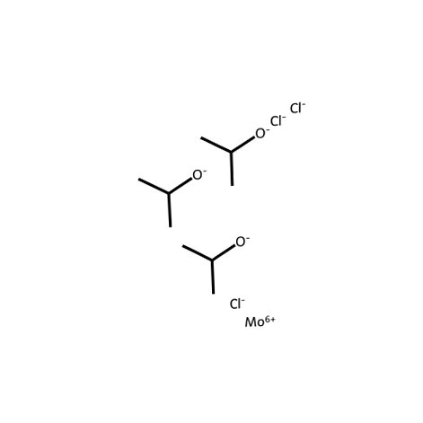 CC(C)[O-].CC(C)[O-].CC(C)[O-].[Cl-].[Cl-].[Cl-].[Mo+6]